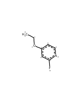 CCOc1ccnc(F)c1